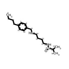 CCCCc1ccc(CNCCCCN[S+]([O-])C(C)C)cc1